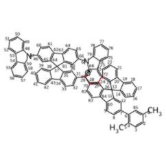 Cc1ccc(C)c(-c2ccc3c(c2)C2(c4ccccc4-c4ccccc42)c2cc(C(=O)c4ccc5c(c4)C4(c6ccccc6-5)c5cc(-n6c7ccccc7c7ccccc76)ccc5-c5ccc(-n6c7ccccc7c7ccccc76)cc54)ccc2-3)c1